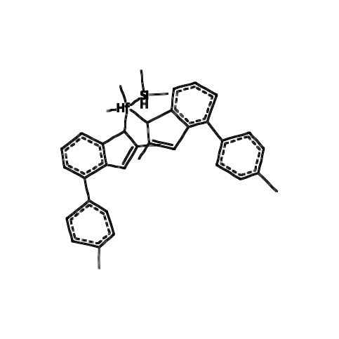 CC1=Cc2c(-c3ccc(C)cc3)cccc2[CH]1[Hf]([CH3])([CH3])([CH]1C(C)=Cc2c(-c3ccc(C)cc3)cccc21)[SiH](C)C